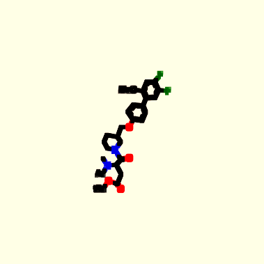 COc1cc(F)c(F)cc1-c1ccc(OCC2CCCN(C(=O)C(CC(=O)OC(C)(C)C)N(C)C(C)=O)C2)cc1